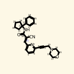 N#C/C(=C\c1cccc(C#CCN2CCOCC2)n1)C(=O)NC1(c2ccccc2)CCCC1